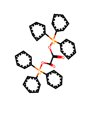 O=C(O[PH](c1ccccc1)(c1ccccc1)c1ccccc1)C(=O)O[PH](c1ccccc1)(c1ccccc1)c1ccccc1